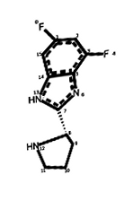 Fc1cc(F)c2nc([C@@H]3CCCN3)[nH]c2c1